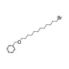 BrCCCCCCCCCCCCOCc1ccccc1